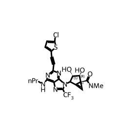 CCCNc1nc(C#Cc2ccc(Cl)s2)nc2c1nc(C(F)(F)F)n2C1C2=C[C@@]2(C(=O)NC)[C@@H](O)[C@H]1O